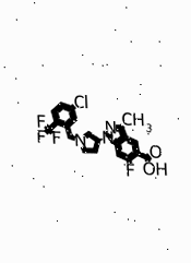 Cc1nn([C@@H]2CCN(Cc3cc(Cl)ccc3C(F)(F)F)C2)c2cc(F)c(C(=O)O)cc12